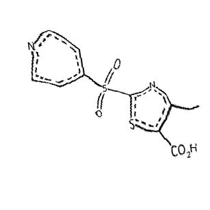 Cc1nc(S(=O)(=O)c2ccncc2)sc1C(=O)O